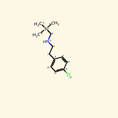 C[Si](C)(C)CNCCc1ccc(Cl)cc1